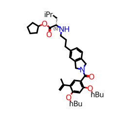 C=C(C)c1cc(C(=O)N2Cc3ccc(CCCN[C@@H](CC(C)C)C(=O)OC4CCCC4)cc3C2)c(OCCCC)cc1OCCCC